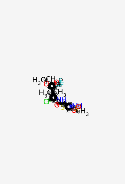 CC(C)Oc1cc(OC(F)(F)F)cc(C(C)(C)c2cc(Cl)cc(NC(=O)c3cc4c(s3)CCN(NS(C)(=O)=O)C4)c2)c1